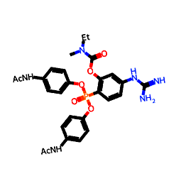 CCN(C)C(=O)Oc1cc(NC(=N)N)ccc1P(=O)(Oc1ccc(NC(C)=O)cc1)Oc1ccc(NC(C)=O)cc1